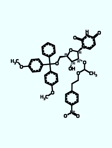 COc1ccc(C(OC[C@H]2O[C@@H](n3ccc(=O)[nH]c3=O)[C@H](OC(C)OCCc3ccc([N+](=O)[O-])cc3)[C@@H]2O)(c2ccccc2)c2ccc(OC)cc2)cc1